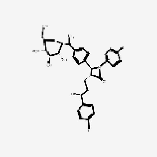 CC(c1ccc([C@@H]2[C@@H](CC[C@H](O)c3ccc(F)cc3)C(=O)N2c2ccc(F)cc2)cc1)[C@@H]1O[C@H](CO)[C@@H](O)[C@H](O)[C@H]1O